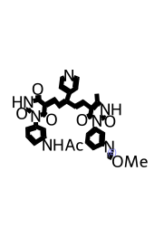 CO/C=N/c1cccc(-n2c(=O)[nH]c(C)c(C=CC(=CC=C3C(=O)NC(=O)N(c4cccc(NC(C)=O)c4)C3=O)c3ccncc3)c2=O)c1